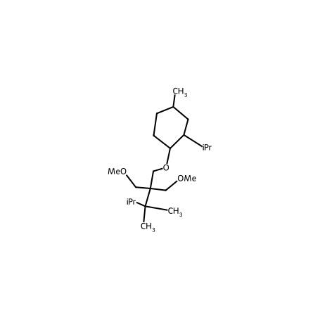 COCC(COC)(COC1CCC(C)CC1C(C)C)C(C)(C)C(C)C